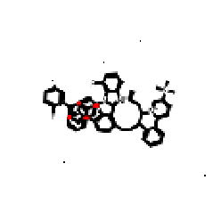 C=C1CC2C(CCc3ccc4c(oc5cc(-c6ccccc6F)ccc54)c3-c3n(-c4ccc5ccccc5c4)c4c(F)cccc4[n+]31)c1ccccc1-c1ccc([Si](C)(C)C)c[n+]12